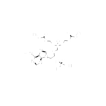 CC(C)OC(=O)OCOP(=O)(CO[C@H](C)Cn1cnc2c(N)ncnc21)OCOC(=O)OC(C)C.O=P(O)(O)O